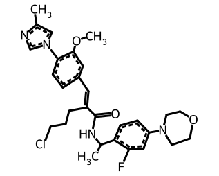 COc1cc(/C=C(\CCCCl)C(=O)NC(C)c2ccc(N3CCOCC3)cc2F)ccc1-n1cnc(C)c1